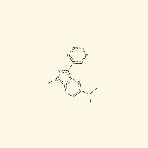 CC(C)c1ccc2c(c1)c(-c1cnccn1)nn2C